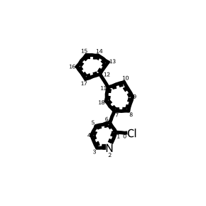 Clc1ncccc1-c1cccc(-c2ccccc2)c1